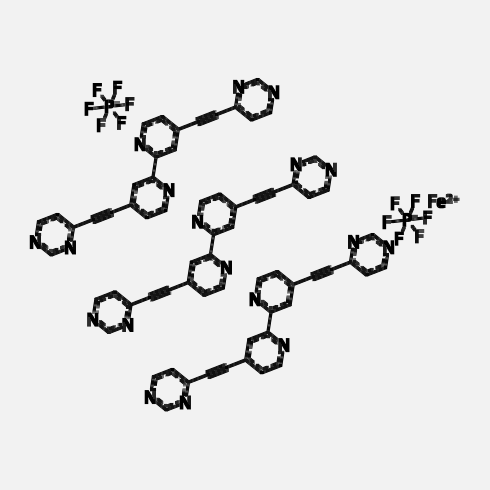 C(#Cc1ccncn1)c1ccnc(-c2cc(C#Cc3ccncn3)ccn2)c1.C(#Cc1ccncn1)c1ccnc(-c2cc(C#Cc3ccncn3)ccn2)c1.C(#Cc1ccncn1)c1ccnc(-c2cc(C#Cc3ccncn3)ccn2)c1.F[P-](F)(F)(F)(F)F.F[P-](F)(F)(F)(F)F.[Fe+2]